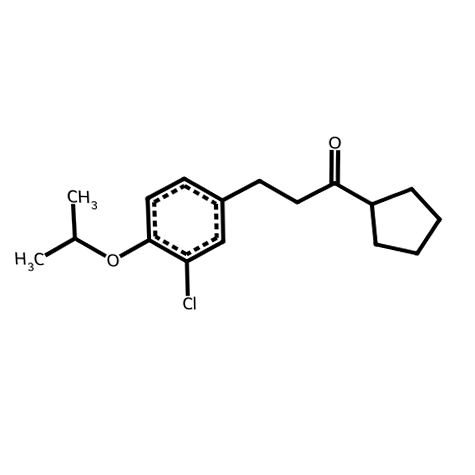 CC(C)Oc1ccc(CCC(=O)C2CCCC2)cc1Cl